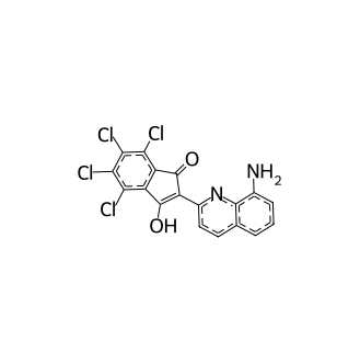 Nc1cccc2ccc(C3=C(O)c4c(Cl)c(Cl)c(Cl)c(Cl)c4C3=O)nc12